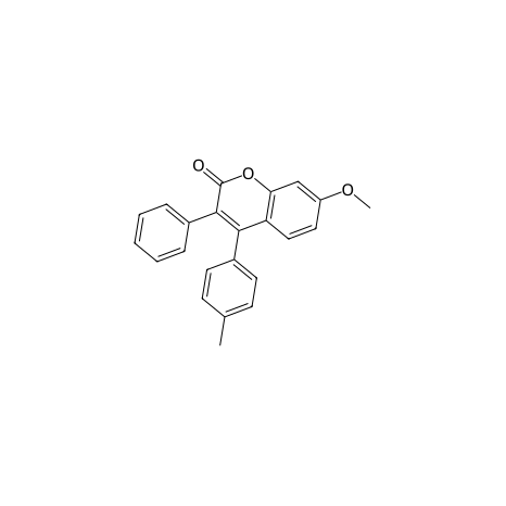 COc1ccc2c(-c3ccc(C)cc3)c(-c3ccccc3)c(=O)oc2c1